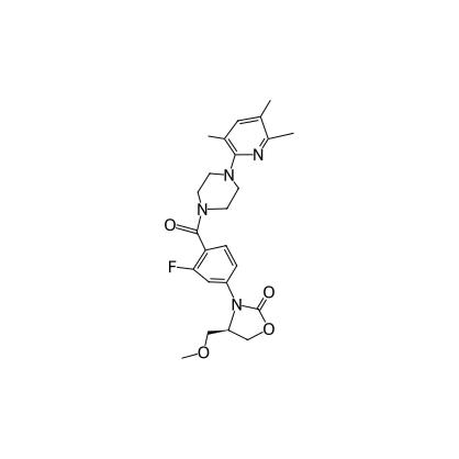 COC[C@@H]1COC(=O)N1c1ccc(C(=O)N2CCN(c3nc(C)c(C)cc3C)CC2)c(F)c1